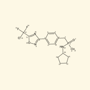 CP(=O)(Cc1ccc(-c2noc(C(F)(F)Cl)n2)cc1)NC1CCCC1